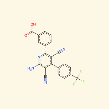 N#Cc1c(N)nc(-c2cccc(C(=O)O)c2)c(C#N)c1-c1ccc(C(F)(F)F)cc1